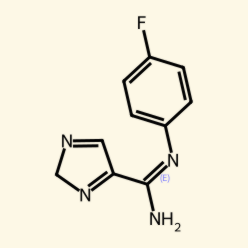 N/C(=N/c1ccc(F)cc1)C1=NCN=C1